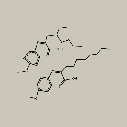 CCCCC(CC)CC(=Cc1ccc(OC)cc1)C(=O)O.CCCCCCCCC(=Cc1ccc(OC)cc1)C(=O)O